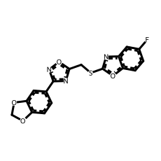 Fc1ccc2oc(SCc3nc(-c4ccc5c(c4)OCO5)no3)nc2c1